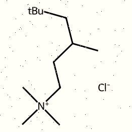 CC(CC[N+](C)(C)C)CC(C)(C)C.[Cl-]